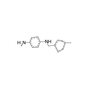 Cc1ccc(CNc2ccc(N)cc2)cc1